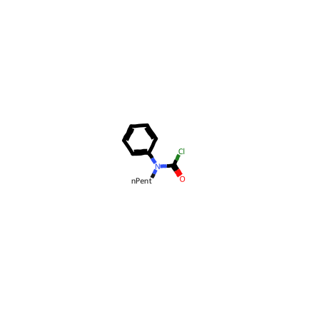 CCCCCN(C(=O)Cl)c1ccccc1